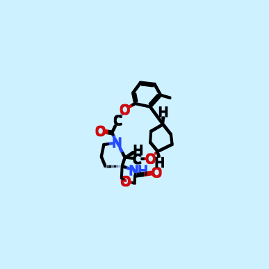 Cc1cccc2c1[C@H]1CC[C@H](CC1)OC[C@H]1N(CCC[C@]13COCC(=O)N3)C(=O)CO2